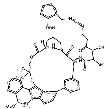 CCn1c(-c2cccnc2[C@H](C)OC)c2c3cc(ccc31)-c1cccc(c1)C[C@H](NC(=O)C(C(C)C)N(C)C(=O)CCN=C=NCc1ccccc1OC)C(=O)N1CCC[C@H](N1)C(=O)OCC(C)(C)C2